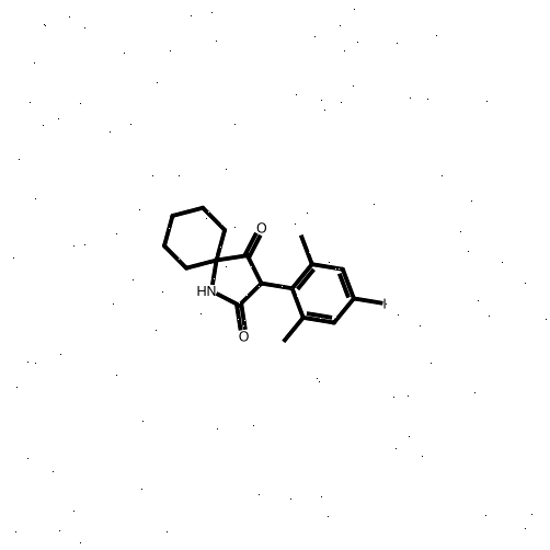 Cc1cc(I)cc(C)c1C1C(=O)NC2(CCCCC2)C1=O